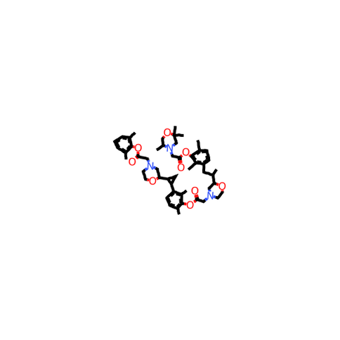 Cc1cccc(C)c1OC(=O)CN1CCOC(C2CC2c2ccc(C)c(OC(=O)CN3CCOC(C(C)Cc4ccc(C)c(OC(=O)CN5CC(C)(C)OCC5C)c4C)C3)c2C)C1